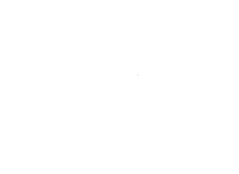 CCOC(=O)/C=C(/C)C(F)(F)F